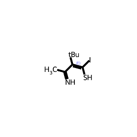 CC(=N)/C(=C(\S)I)C(C)(C)C